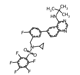 CC(C)(C)Nc1ncnc2ccc(-c3ccc(F)c(CN(C4CC4)S(=O)(=O)c4c(F)c(F)c(F)c(F)c4F)c3)cc12